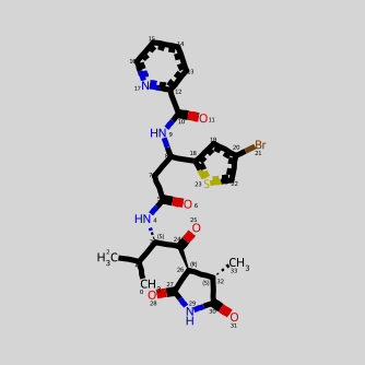 CC(C)[C@H](NC(=O)CC(NC(=O)c1ccccn1)c1cc(Br)cs1)C(=O)[C@@H]1C(=O)NC(=O)[C@H]1C